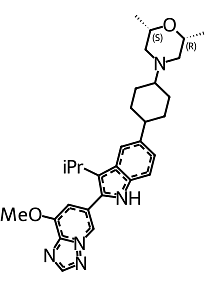 COc1cc(-c2[nH]c3ccc(C4CCC(N5C[C@@H](C)O[C@@H](C)C5)CC4)cc3c2C(C)C)cn2ncnc12